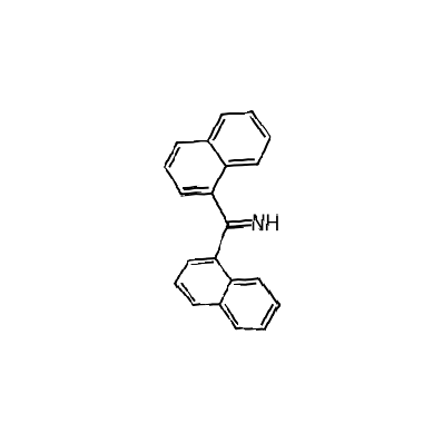 N=C(c1cccc2ccccc12)c1cccc2ccccc12